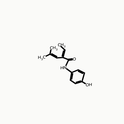 CC=C(C=C(C)C)C(=O)Nc1ccc(O)cc1